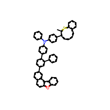 Cc1sc2ccccc2ccccc1-c1ccc(N(c2ccccc2)c2ccc(-c3ccc(-c4ccc5ccc6oc7ccccc7c6c5c4)cc3-c3ccccc3)cc2)cc1